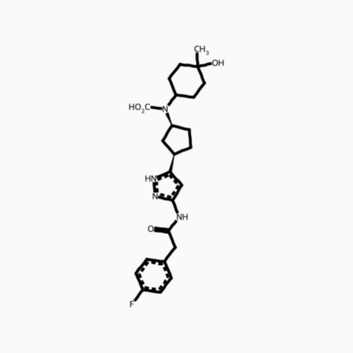 CC1(O)CCC(N(C(=O)O)[C@H]2CC[C@@H](c3cc(NC(=O)Cc4ccc(F)cc4)n[nH]3)C2)CC1